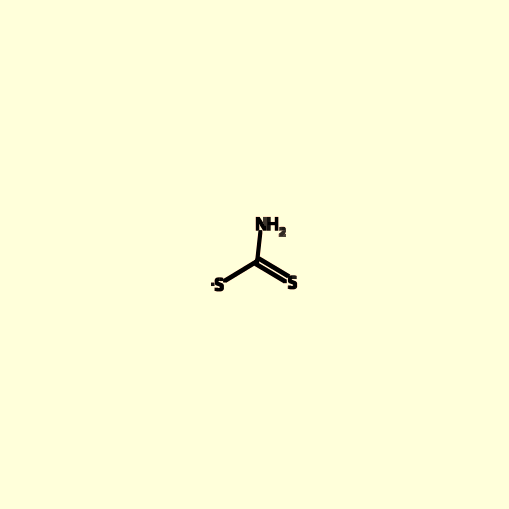 NC([S])=S